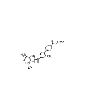 COCC(=O)N1CCN(c2ccc(Nc3ncc(C(N)=O)c(NC4CC4)n3)cc2C)CC1